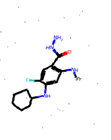 CC(C)Nc1cc(NC2CCCCC2)c(F)cc1C(=O)NN